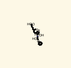 O=C(O)CCCC1CC[C@@H]2[C@@H](/C=C/[C@@H](O)COc3ccccc3)[C@H](O)C[C@H]2OC1